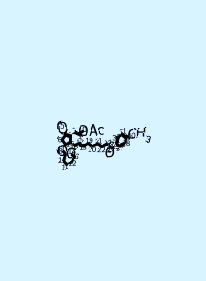 CC(=O)OCC[C@H]1C(=O)C[C@@H](OC2CCCCO2)[C@@H]1C/C=C/CCCCC[S+]([O-])c1ccc(C)cc1